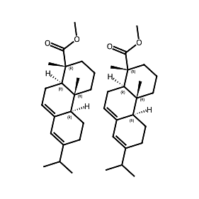 COC(=O)[C@]1(C)CCC[C@@]2(C)[C@H]1CC=C1C=C(C(C)C)CC[C@@H]12.COC(=O)[C@]1(C)CCC[C@@]2(C)[C@H]1CC=C1C=C(C(C)C)CC[C@@H]12